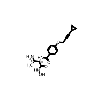 C[C@@H](N)[C@H](NC(=O)c1ccc(OCC#CC2CC2)cc1)C(=O)NO